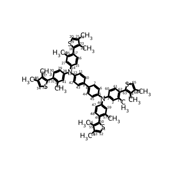 Cc1cc(N(c2ccc(-c3ccc(N(c4ccc(-c5scc(C)c5C)c(C)c4)c4ccc(-c5scc(C)c5C)c(C)c4)cc3)cc2)c2ccc(-c3scc(C)c3C)c(C)c2)ccc1-c1scc(C)c1C